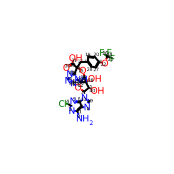 Nc1nc(Cl)nc2c1ncn2[C@@H]1O[C@@H]2C(OC(Cc3ccc(OC(F)(F)F)cc3)(C(=O)O)c3nnn[nH]3)[C@]2(O)[C@H]1O